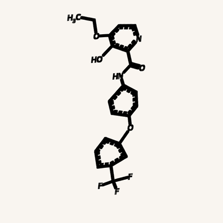 CCOc1ccnc(C(=O)Nc2ccc(Oc3cccc(C(F)(F)F)c3)cc2)c1O